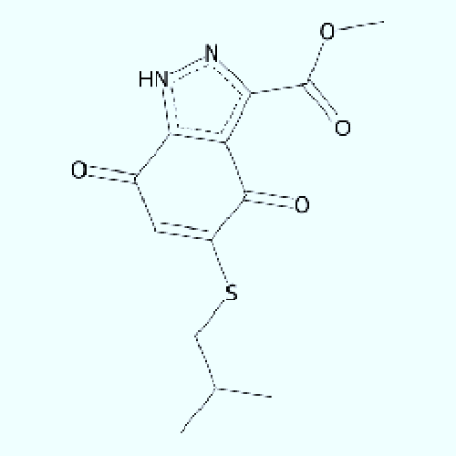 COC(=O)c1n[nH]c2c1C(=O)C(SCC(C)C)=CC2=O